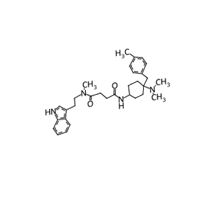 Cc1ccc(CC2(N(C)C)CCC(NC(=O)CCC(=O)N(C)CCc3c[nH]c4ccccc34)CC2)cc1